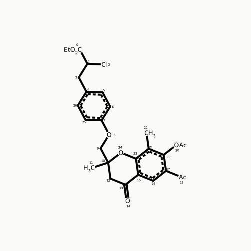 CCOC(=O)C(Cl)Cc1ccc(OCC2(C)CC(=O)c3cc(C(C)=O)c(OC(C)=O)c(C)c3O2)cc1